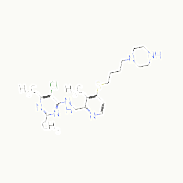 Cc1nc(C)c(Cl)c(NCc2nccc(SCCCCN3CCNCC3)c2C)n1